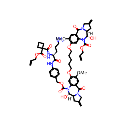 C=CCOC(=O)N1c2cc(OCCCCCOc3cc4c(cc3OC)C(=O)N3CC(=C)C[C@H]3[C@H](O)N4C(=O)OCc3ccc(NC(=O)[C@H](CCCN)NC(=O)C4(C(=O)OCC=C)CCC4)cc3)c(OC)cc2C(=O)N2CC(=C)C[C@H]2[C@@H]1O